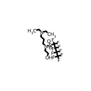 CCN(CC)CCCN(CCO)S(=O)(=O)C(F)(F)C(F)(F)C(F)(F)C(F)(F)F